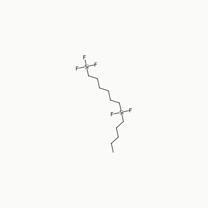 CCCCC[Si](F)(F)CCCCCC[Si](F)(F)F